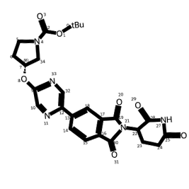 CC(C)(C)OC(=O)N1CC[C@@H](Oc2cnc(-c3ccc4c(c3)C(=O)N(C3CCC(=O)NC3=O)C4=O)cn2)C1